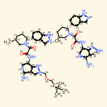 C[C@H]1CC[C@H](c2ccc3[nH]ncc3c2)N(C(=O)C(=O)Nc2cnc(N)c3c[nH]nc23)C1.C[C@H]1CC[C@H](c2ccc3[nH]ncc3c2)N(C(=O)C(=O)Nc2cnc(N)c3cn(COCC[Si](C)(C)C)nc23)C1